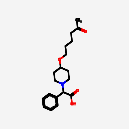 CC(=O)CCCCOC1CCN(C(C(=O)O)c2ccccc2)CC1